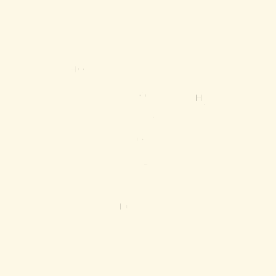 C=CC(=O)OCCO.CCc1ccccc1CC